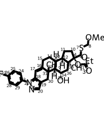 CCC(=O)O[C@]1(C(=O)SCOC)CC[C@H]2[C@@H]3CCC4=Cc5c(cnn5-c5ccc(F)cc5)CC4(C)[C@H]3[C@@H](O)C[C@@]21C